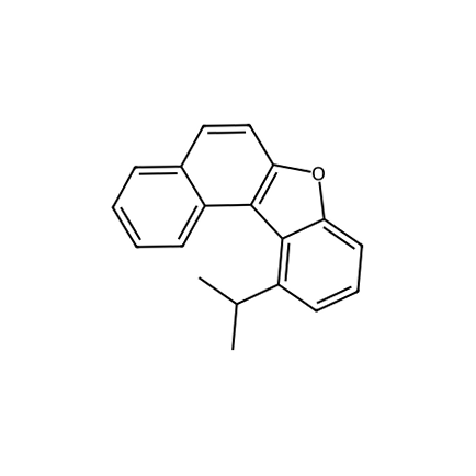 CC(C)c1cccc2oc3ccc4ccccc4c3c12